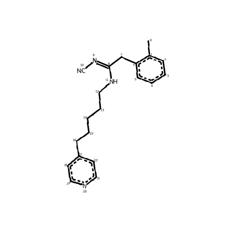 Cc1ccccc1CC(=NC#N)NCCCCCc1ccncc1